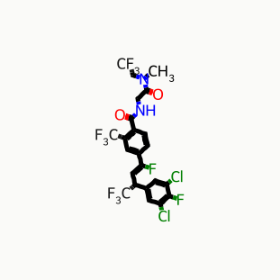 CN(CC(F)(F)F)C(=O)CNC(=O)c1ccc(C(F)=CC(c2cc(Cl)c(F)c(Cl)c2)C(F)(F)F)cc1C(F)(F)F